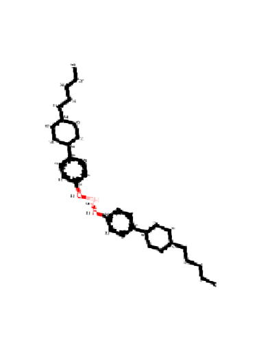 CCCCCC1CCC(c2ccc(OBOc3ccc(C4CCC(CCCCC)CC4)cc3)cc2)CC1